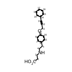 O=C(O)CCNCCc1ccc(OCC#Cc2ccccc2)cc1